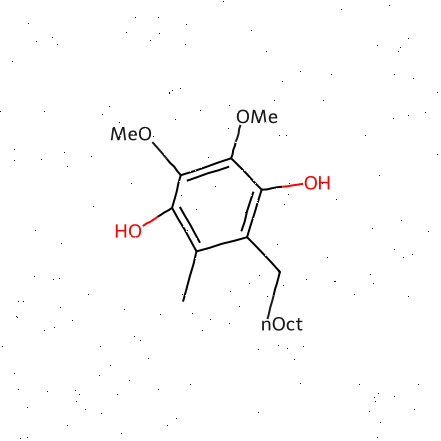 [CH2]CCCCCCCCc1c(C)c(O)c(OC)c(OC)c1O